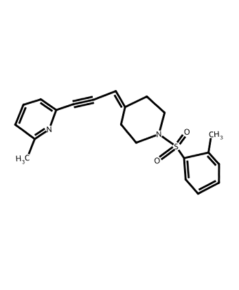 Cc1cccc(C#CC=C2CCN(S(=O)(=O)c3ccccc3C)CC2)n1